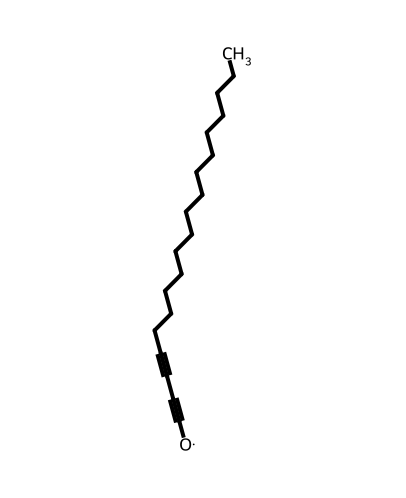 CCCCCCCCCCCCCCCC#CC#C[O]